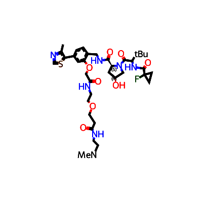 CNCCNC(=O)CCOCCNC(=O)COc1cc(-c2scnc2C)ccc1CNC(=O)[C@@H]1C[C@@H](O)CN1C(=O)C(NC(=O)C1(F)CC1)C(C)(C)C